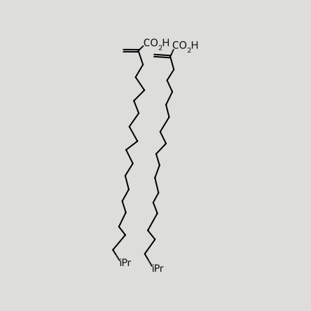 C=C(CCCCCCCCCCCCCCCCC(C)C)C(=O)O.C=C(CCCCCCCCCCCCCCCCC(C)C)C(=O)O